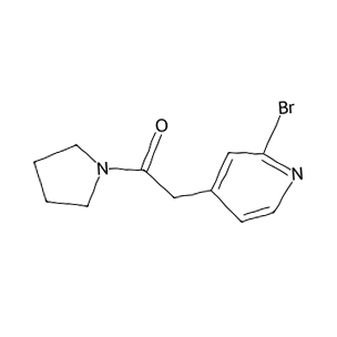 O=C(Cc1ccnc(Br)c1)N1CCCC1